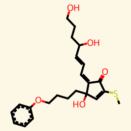 CSC1=CC(O)(CCCCOc2ccccc2)C(=CC=CC(O)CCCO)C1=O